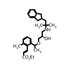 CCOC(=O)/C=C/c1c(C)cccc1C(C)OC[C@H](O)CNC(C)(C)CC1Cc2ccccc2C1